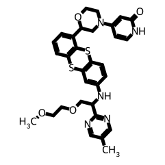 COCCOCC(Nc1ccc2c(c1)Sc1cccc(C3CN(c4cc[nH]c(=O)c4)CCO3)c1S2)c1ncc(C)cn1